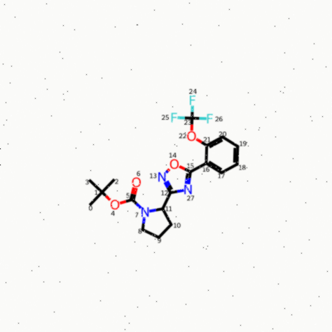 CC(C)(C)OC(=O)N1CCCC1c1noc(-c2ccccc2OC(F)(F)F)n1